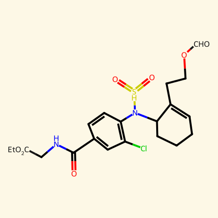 CCOC(=O)CNC(=O)c1ccc(N(C2CCCC=C2CCOC=O)[SH](=O)=O)c(Cl)c1